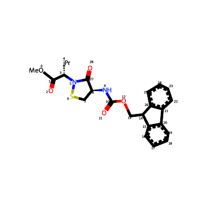 COC(=O)[C@H](C(C)C)N1SC[C@H](NC(=O)OCC2c3ccccc3-c3ccccc32)C1=O